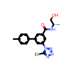 CCc1nnnn1-c1cc(C(=O)N[C@@H](C)CO)cc(-c2ccc(C)cc2)c1